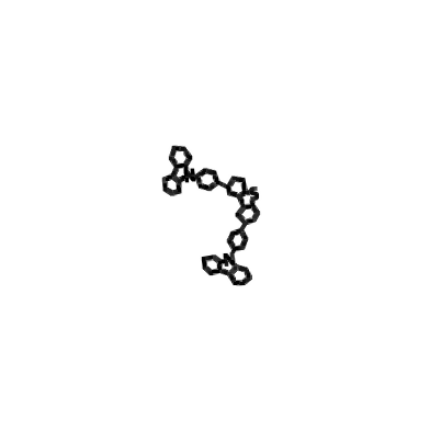 c1ccc2c(c1)c1ccccc1n2-c1ccc(-c2ccc3sc4ccc(-c5ccc(-n6c7ccccc7c7ccccc76)cc5)cc4c3c2)cc1